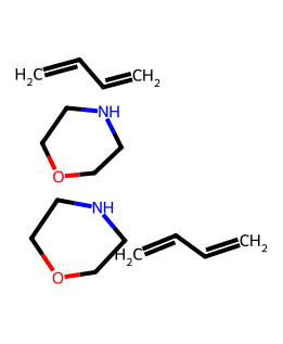 C1COCCN1.C1COCCN1.C=CC=C.C=CC=C